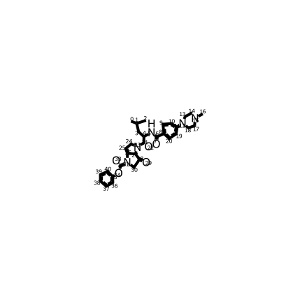 CC(C)CC(NC(=O)c1ccc(N2CCN(C)CC2)cc1)C(=O)N1CC=C2C1C(=O)CN2C(=O)Oc1ccccc1